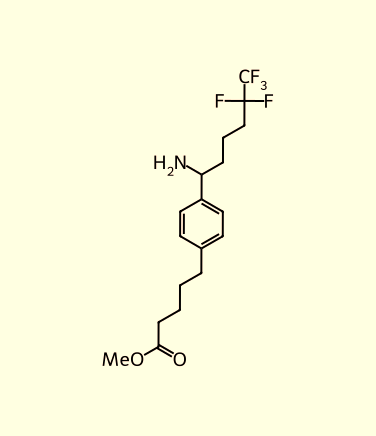 COC(=O)CCCCc1ccc(C(N)CCCC(F)(F)C(F)(F)F)cc1